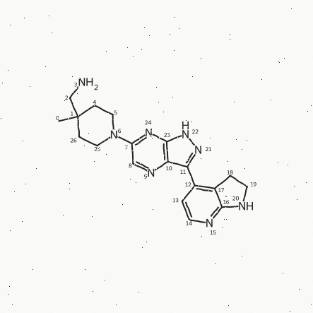 CC1(CN)CCN(c2cnc3c(-c4ccnc5c4CCN5)n[nH]c3n2)CC1